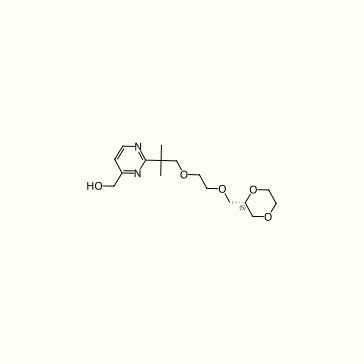 CC(C)(COCCOC[C@H]1COCCO1)c1nccc(CO)n1